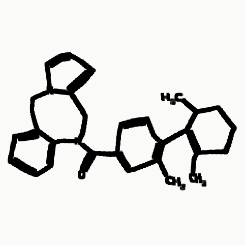 CC1=C(c2ccc(C(=O)N3Cc4cccn4Cc4ccccc43)cc2C)C(C)CCC1